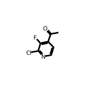 CC(=O)c1ccnc(Cl)c1F